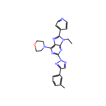 CCn1c(-c2ccncc2)nc2c(N3CCOCC3)nc(-n3ncc(-c4cccc(C)c4)n3)nc21